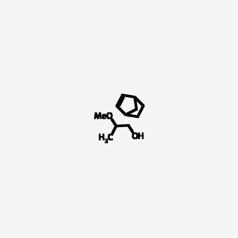 C1=CC2CCC1C2.COC(C)CO